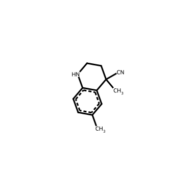 Cc1ccc2c(c1)C(C)(C#N)CCN2